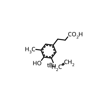 C=C.Cc1cc(CCC(=O)O)cc(C(C)(C)C)c1O